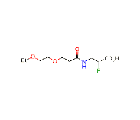 CCOCCOCCC(=O)NC[C@@H](F)C(=O)O